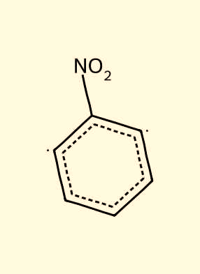 O=[N+]([O-])c1[c]ccc[c]1